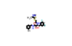 CCc1cccc(CNC[C@@H](O)[C@H](Cc2cc(F)cc(F)c2)NC(=O)CSc2snnc2C)c1